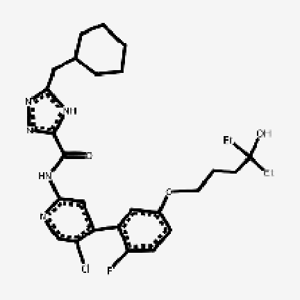 CCC(O)(CC)CCCOc1ccc(F)c(-c2cc(NC(=O)c3nnc(CC4CCCCC4)[nH]3)ncc2Cl)c1